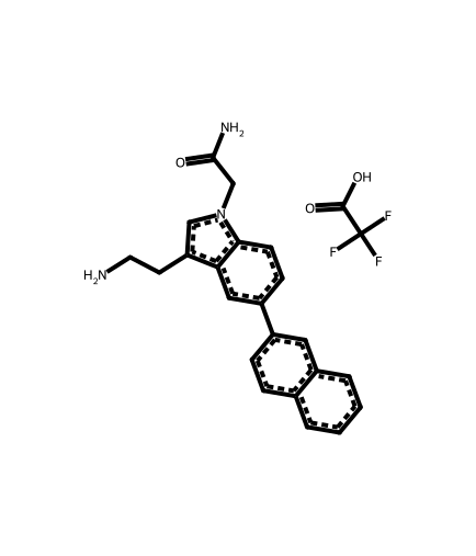 NCCc1cn(CC(N)=O)c2ccc(-c3ccc4ccccc4c3)cc12.O=C(O)C(F)(F)F